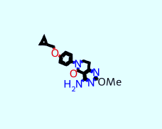 COc1nc(N)c2c(n1)CCN(c1ccc(OCC3CC3)cc1)C2=O